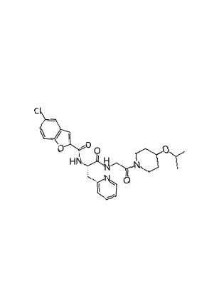 CC(C)OC1CCN(C(=O)CNC(=O)[C@H](Cc2ccccn2)NC(=O)c2cc3cc(Cl)ccc3o2)CC1